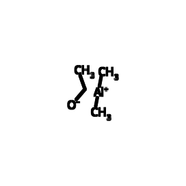 CC[O-].[CH3][Al+][CH3]